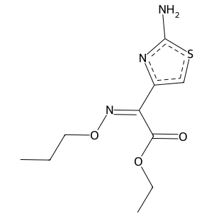 CCCO/N=C(\C(=O)OCC)c1csc(N)n1